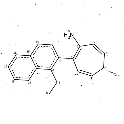 CCc1c(C2=C(N)C=C[C@H](C)C=C2)ccc2ccccc12